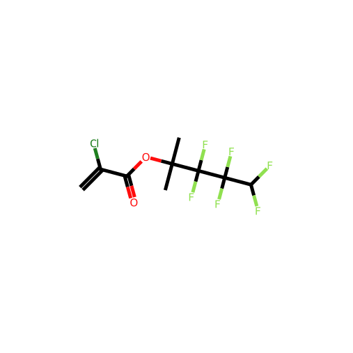 C=C(Cl)C(=O)OC(C)(C)C(F)(F)C(F)(F)C(F)F